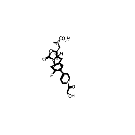 CN(C[C@@H]1OC(=O)N2c3cc(F)c(C4=CCN(C(=O)CO)CC4)cc3C[C@@H]12)C(=O)O